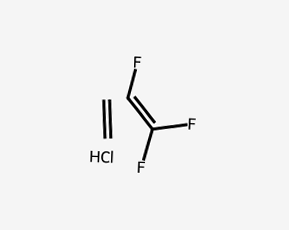 C=C.Cl.FC=C(F)F